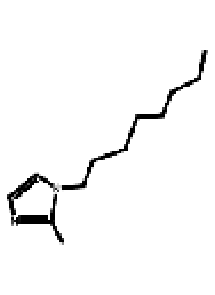 CCCCCCCCn1ccnc1C